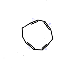 [C]1=C\C/C=C\C=C/CC\C=C/1